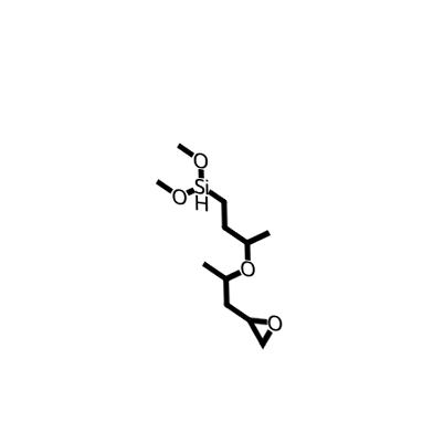 CO[SiH](CCC(C)OC(C)CC1CO1)OC